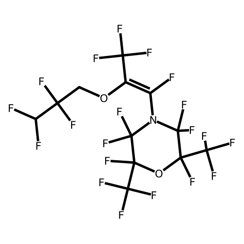 F/C(=C(/OCC(F)(F)C(F)F)C(F)(F)F)N1C(F)(F)C(F)(C(F)(F)F)OC(F)(C(F)(F)F)C1(F)F